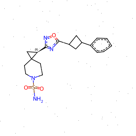 NS(=O)(=O)N1CCC2(CC1)C[C@H]2c1noc(C2CC(c3ccccc3)C2)n1